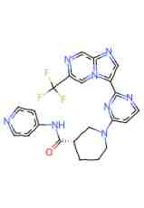 O=C(Nc1ccncc1)[C@H]1CCCN(c2ccnc(-c3cnc4cnc(C(F)(F)F)cn34)n2)C1